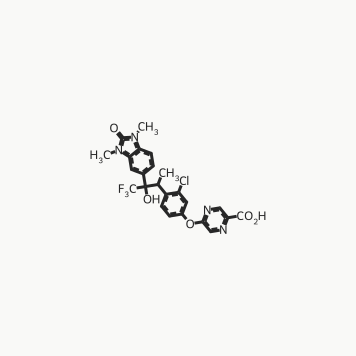 CC(c1ccc(Oc2cnc(C(=O)O)cn2)cc1Cl)C(O)(c1ccc2c(c1)n(C)c(=O)n2C)C(F)(F)F